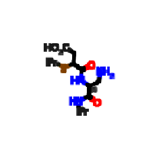 CC(C)NC(=O)[C@H](CN)NC(=O)C(CC(=O)O)SC(C)C